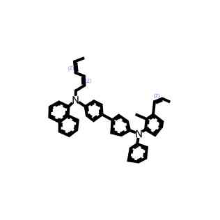 C/C=C\C=C/CN(c1ccc(-c2ccc(N(c3ccccc3)c3cccc(/C=C\C)c3C)cc2)cc1)c1cccc2ccccc12